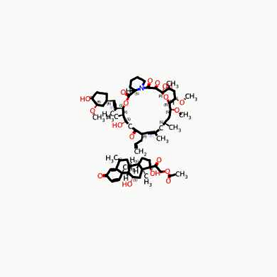 C=CC[C@@H]1/C=C(\C)C[C@H](C)C[C@H](OC)[C@H]2O[C@@](O)(C(=O)C(=O)N3CCCC[C@H]3C(=O)O[C@H](/C(C)=C/[C@@H]3CC[C@@H](O)[C@H](OC)C3)[C@H](C)[C@@H](O)CC1=O)[C@H](C)C[C@@H]2OC.CC(=O)OCC(=O)[C@@]1(O)CC[C@H]2[C@@H]3C[C@H](C)C4=CC(=O)C=C[C@]4(C)[C@H]3[C@@H](O)C[C@@]21C